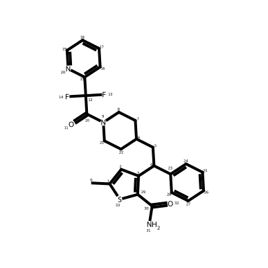 Cc1cc(C(CC2CCN(C(=O)C(F)(F)c3ccccn3)CC2)c2ccccc2)c(C(N)=O)s1